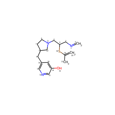 C=NCC(CN1CCC(Cc2cncc(O)c2)C1)SC(=C)C